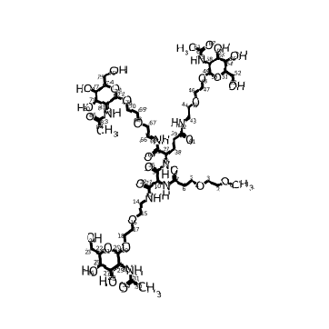 COCCOCCC(=O)NC(C(=O)NCCOCCOC1OC(CO)C(O)C(O)C1NC(C)=O)C(=O)NC(CCC(=O)NCCOCCOC1OC(CO)C(O)C(O)C1NC(C)=O)C(=O)NCCOCCOC1OC(CO)C(O)C(O)C1NC(C)=O